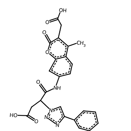 Cc1c(CC(=O)O)c(=O)oc2cc(NC(=O)C(CC(=O)O)n3cc(-c4ccccc4)nn3)ccc12